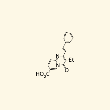 CCc1c(C=Cc2ccccc2)nc2ccc(C(=O)O)cn2c1=O